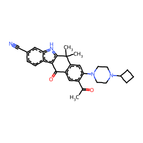 CC(=O)c1cc2c(cc1N1CCN(C3CCC3)CC1)C(C)(C)c1[nH]c3cc(C#N)ccc3c1C2=O